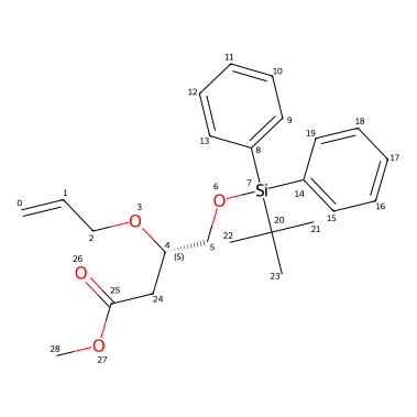 C=CCO[C@H](CO[Si](c1ccccc1)(c1ccccc1)C(C)(C)C)CC(=O)OC